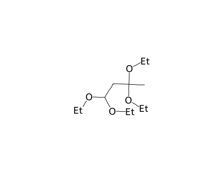 CCOC(CC(C)(OCC)OCC)OCC